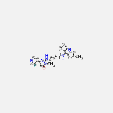 Cc1ccc2c(NCCCCCCNc3nc(-c4ccncc4F)cc(=O)n3C)c3c(nc2c1)CCCC3